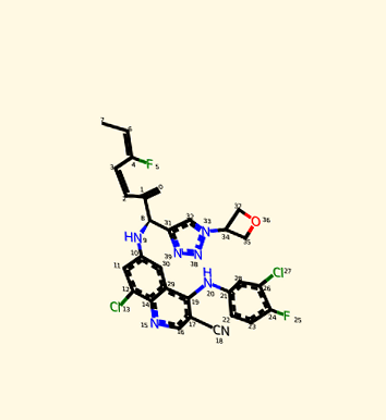 C=C(/C=C\C(F)=C/C)[C@H](Nc1cc(Cl)c2ncc(C#N)c(Nc3ccc(F)c(Cl)c3)c2c1)c1cn(C2COC2)nn1